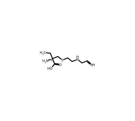 CC[C@](N)(CSCCNCC=N)C(=O)O